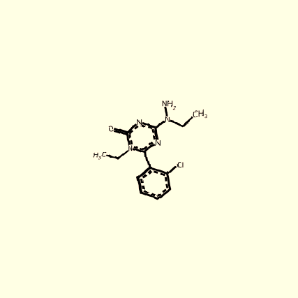 CCN(N)c1nc(-c2ccccc2Cl)n(CC)c(=O)n1